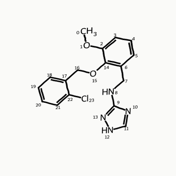 COc1cccc(CNc2nc[nH]n2)c1OCc1ccccc1Cl